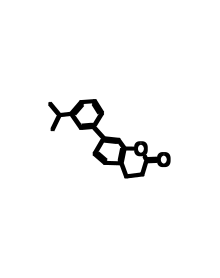 CC(C)c1cccc(-c2ccc3c(c2)OC(=O)CC3)c1